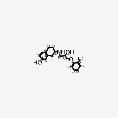 Oc1ccc2c(c1)CC(NCC(O)COc1ccccc1Cl)CC2